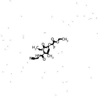 CCOC(=O)[C@H](F)ON1C=C(C)[C@@H](C(=O)NCC#N)N(CC)C1=O